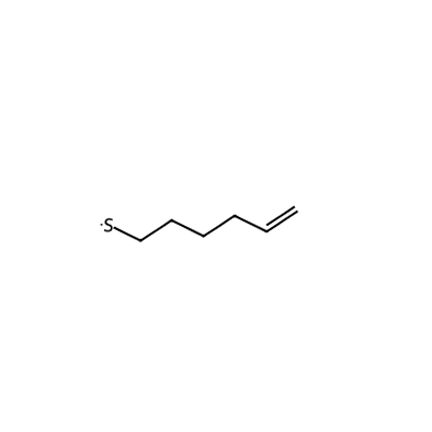 C=CCCCC[S]